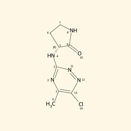 Cc1nc(N[C@@H]2CCNC2=O)nnc1Cl